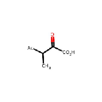 CC(=O)C(C)C(=O)C(=O)O